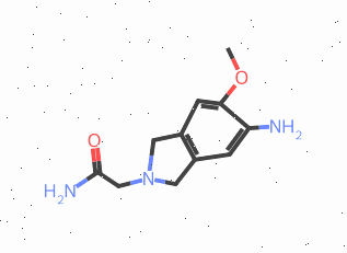 COc1cc2c(cc1N)CN(CC(N)=O)C2